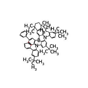 Cc1cc(C(C)(C)C)ccc1N1c2cc3c(cc2B2c4cc(-c5ccccc5)ccc4N(c4ccc(C(C)(C)C)cc4-c4ccccc4)c4cc(C(C)(C)C)cc1c42)C(C)(C)CCC3(C)C